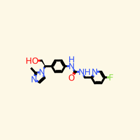 Cc1nccn1[C@@H](CO)c1ccc(NC(=O)NCc2ccc(F)cn2)cc1